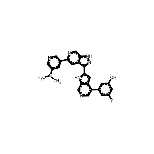 CN(C)c1cncc(-c2cc3c(-c4cc5c(-c6cc(O)cc(F)c6)cncc5[nH]4)n[nH]c3cn2)c1